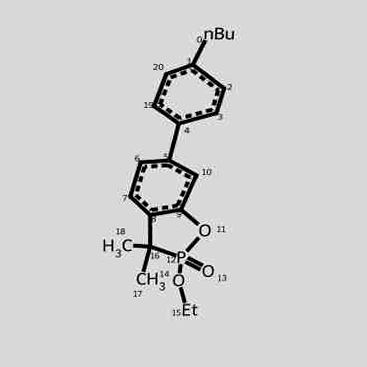 CCCCc1ccc(-c2ccc3c(c2)OP(=O)(OCC)C3(C)C)cc1